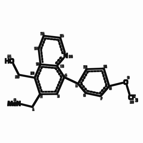 CNCc1cc(-c2ccc(OC(F)(F)F)cc2)c2ncccc2c1CO